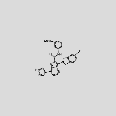 COc1cccc(NC(=O)c2nn3c(-c4cn[nH]c4)ccnc3c2N2Cc3ccc(F)cc3C2)c1